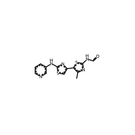 Cc1nc(NC=O)sc1-c1csc(Nc2cccnc2)n1